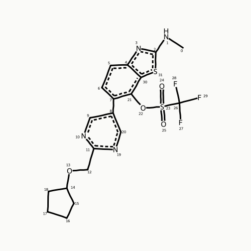 CNc1nc2ccc(-c3cnc(COC4CCCC4)nc3)c(OS(=O)(=O)C(F)(F)F)c2s1